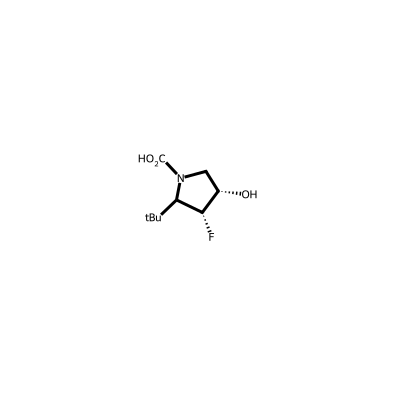 CC(C)(C)C1[C@@H](F)[C@@H](O)CN1C(=O)O